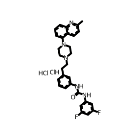 Cc1ccc2c(N3CCN(CCc4cccc(NC(=O)Nc5cc(F)cc(F)c5)c4)CC3)cccc2n1.Cl.Cl